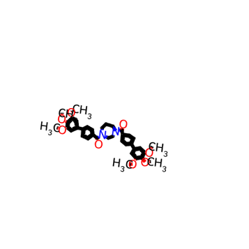 COc1cc(-c2ccc(C(=O)N3CCCN(C(=O)c4ccc(-c5cc(OC)c(OC)c(OC)c5)cc4)CC3)cc2)cc(OC)c1OC